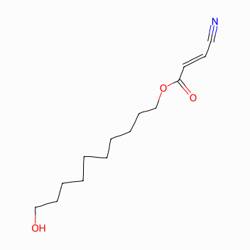 N#CC=CC(=O)OCCCCCCCCCCO